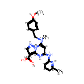 COc1ccc(CN(C)c2cc(Nc3cccc(C)n3)nc3c(C(=O)O)cnn23)cc1